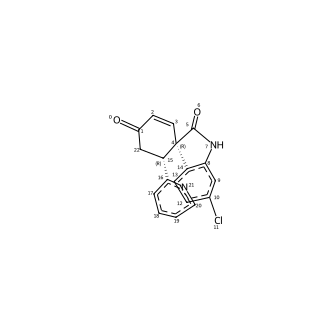 O=C1C=C[C@@]2(C(=O)Nc3cc(Cl)ccc32)[C@H](c2ccccn2)C1